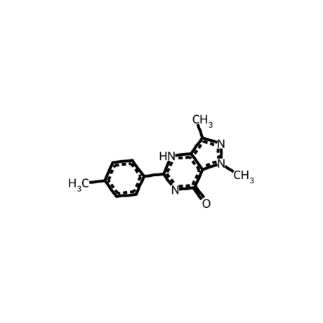 Cc1ccc(-c2nc(=O)c3c([nH]2)c(C)nn3C)cc1